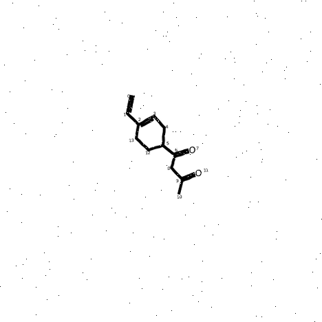 C=CC1=CCC(C(=O)CC(C)=O)CC1